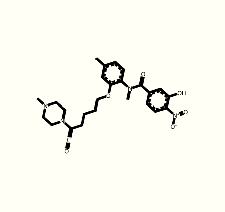 Cc1ccc(N(C)C(=O)c2ccc([N+](=O)[O-])c(O)c2)c(OCCCCC(=C=O)N2CCN(C)CC2)c1